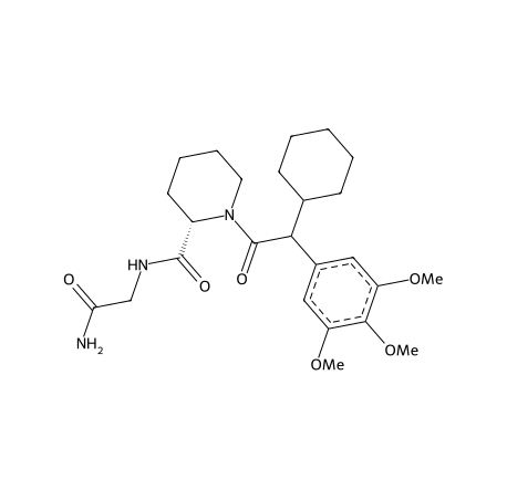 COc1cc(C(C(=O)N2CCCC[C@H]2C(=O)NCC(N)=O)C2CCCCC2)cc(OC)c1OC